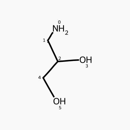 N[CH]C(O)CO